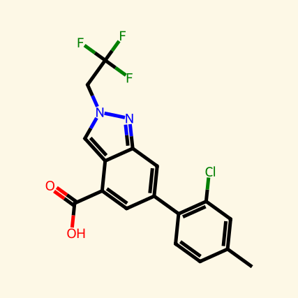 Cc1ccc(-c2cc(C(=O)O)c3cn(CC(F)(F)F)nc3c2)c(Cl)c1